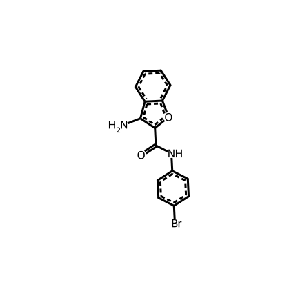 Nc1c(C(=O)Nc2ccc(Br)cc2)oc2ccccc12